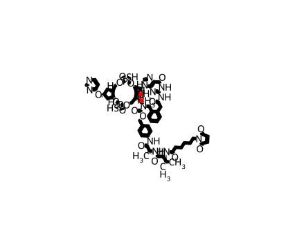 CC(C)[C@H](NC(=O)CCCCCN1C(=O)C=CC1=O)C(=O)N[C@@H](C)C(=O)Nc1ccc(COC(=O)N(C)Cc2ccccc2CC(=O)Nc2nc3c(ncn3[C@@H]3O[C@@H]4CO[P@@](=O)(S)O[C@H]5C[C@H](Oc6ccncn6)C[C@@H]5COP(=O)(S)O[C@@H]3[C@@H]4O)c(=O)[nH]2)cc1